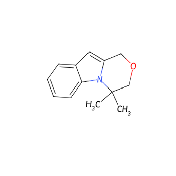 CC1(C)COCc2cc3ccccc3n21